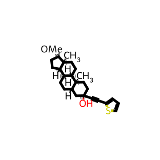 CO[C@H]1CC[C@H]2[C@@H]3CC[C@@H]4C[C@@](O)(C#Cc5cccs5)CC[C@]4(C)[C@H]3CC[C@]12C